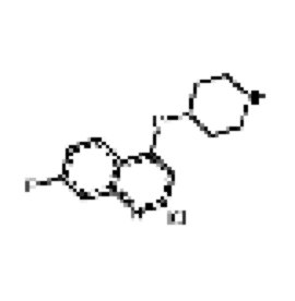 Cl.Fc1ccc2c(OC3CCNCC3)ccnc2c1